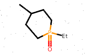 CCP1(=O)CCC(C)CC1